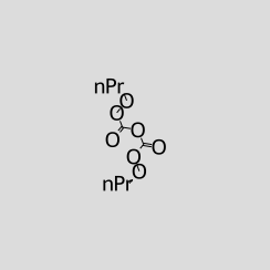 CCCOOC(=O)OC(=O)OOCCC